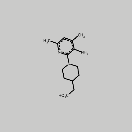 Cc1cc(C)c(N)c(N2CCC(CC(=O)O)CC2)n1